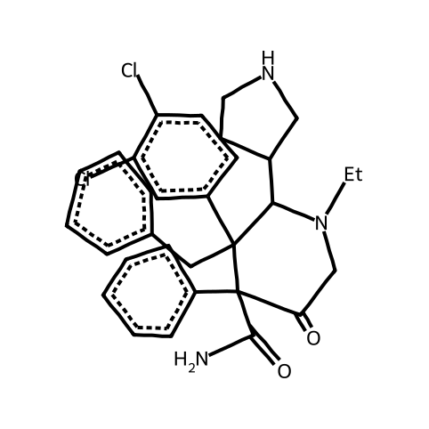 CCN1CC(=O)C(C(N)=O)(c2ccccc2)C(Cc2ccccc2)(c2ccc(Cl)c(Cl)c2)C1C1CCNC1